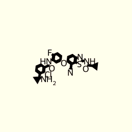 N#Cc1c(Oc2ccc(F)c(NC(=O)c3cccc(C4(N)CC4)c3Cl)c2)ccc2nc(NC(=O)C3CC3)sc12